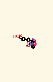 CCOC(=O)N(c1ccccc1OC)c1c(-c2ccc(-c3ccc(CC(=O)O)cc3)cc2)noc1C